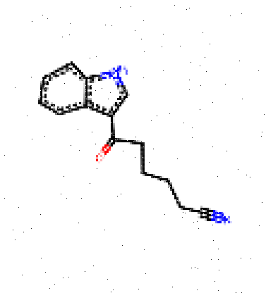 N#CCCCCC(=O)c1c[nH]c2ccccc12